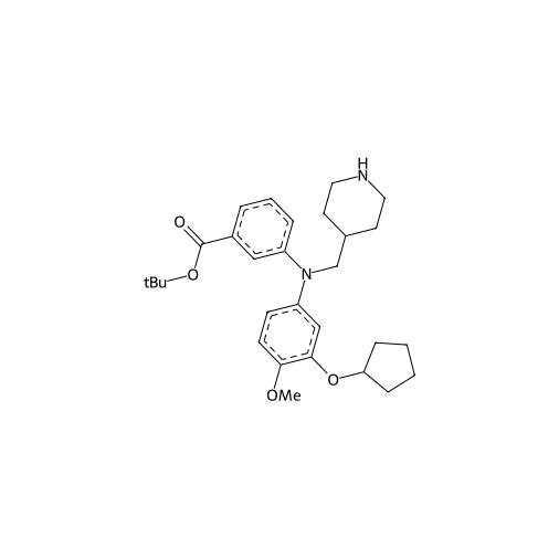 COc1ccc(N(CC2CCNCC2)c2cccc(C(=O)OC(C)(C)C)c2)cc1OC1CCCC1